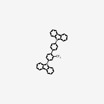 FC(F)(F)c1cc(-n2c3ccccc3c3ccccc32)ccc1-c1ccc(-n2c3ccccc3c3ccccc32)cc1